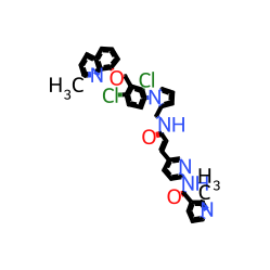 Cc1ccc2cccc(OCc3c(Cl)ccc(-n4cccc4CNC(=O)C=Cc4ccc(NC(=O)c5cccnc5C)nc4)c3Cl)c2n1